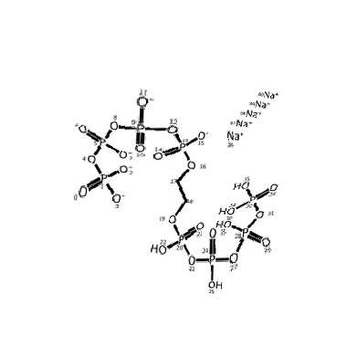 O=P([O-])([O-])OP(=O)([O-])OP(=O)([O-])OP(=O)([O-])OCCOP(=O)(O)OP(=O)(O)OP(=O)(O)OP(=O)(O)O.[Na+].[Na+].[Na+].[Na+].[Na+]